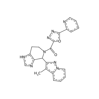 Cc1c(C2c3nc[nH]c3CCN2C(=O)c2nnc(-c3ccccn3)o2)nn2ccccc12